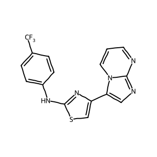 FC(F)(F)c1ccc(Nc2nc(-c3cnc4ncccn34)cs2)cc1